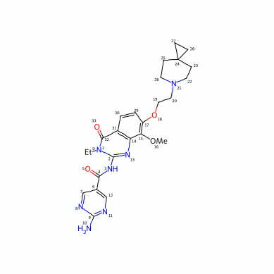 CCn1c(NC(=O)c2cnc(N)nc2)nc2c(OC)c(OCCN3CCC4(CC3)CC4)ccc2c1=O